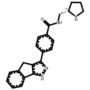 O=C(NC[C@@H]1CCCN1)c1ccc(-c2n[nH]c3c2Cc2ccccc2-3)cc1